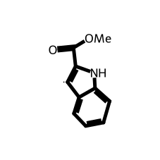 COC(=O)c1[c]c2ccccc2[nH]1